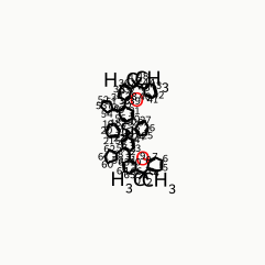 CC1(C)c2ccccc2Oc2c(-c3ccc([Si](c4ccccc4)(c4ccccc4)c4ccc(-c5cccc6c5Oc5ccccc5C6(C)C)c(C5CCCC5)c4)cc3C3CCCC3)cccc21